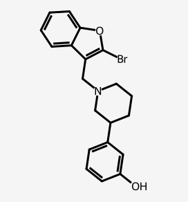 Oc1cccc(C2CCCN(Cc3c(Br)oc4ccccc34)C2)c1